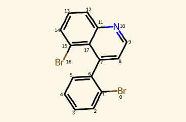 Brc1ccccc1-c1ccnc2cccc(Br)c12